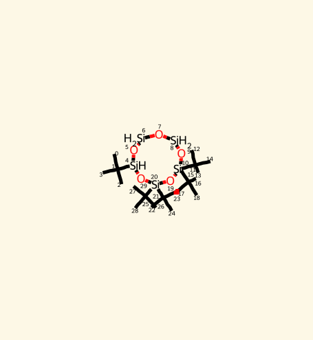 CC(C)(C)[SiH]1O[SiH2]O[SiH2]O[Si](C(C)(C)C)(C(C)(C)C)O[Si](C(C)(C)C)(C(C)(C)C)O1